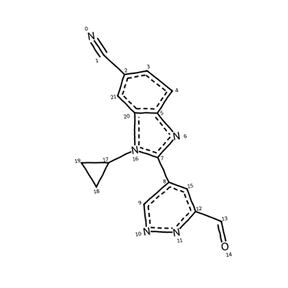 N#Cc1ccc2nc(-c3cnnc(C=O)c3)n(C3CC3)c2c1